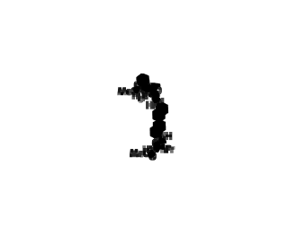 C=C(N[C@@H](C(=O)N(C)CC1(CCc2nc3c([nH]2)C2C=CC(c4ccc5c(ccc6nc(CN(CCC)C(=O)CNC(=O)OC)[nH]c65)c4)=CC2CC3)OCCO1)c1ccccc1)OC